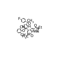 CCNC(=O)c1cc2c(-c3cc(C(C)(O)c4ccc(F)cc4)cnc3Oc3c(C)cccc3C)cn(C)c(=O)c2[nH]1